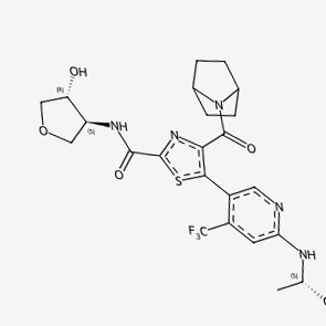 C[C@H](Nc1cc(C(F)(F)F)c(-c2sc(C(=O)N[C@H]3COC[C@@H]3O)nc2C(=O)N2C3CCC2CC3)cn1)C(F)(F)F